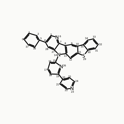 c1ccc(-c2cnc3c4cc5c(cc4n(-c4cccc(-c6ccncc6)n4)c3c2)sc2ccccc25)cc1